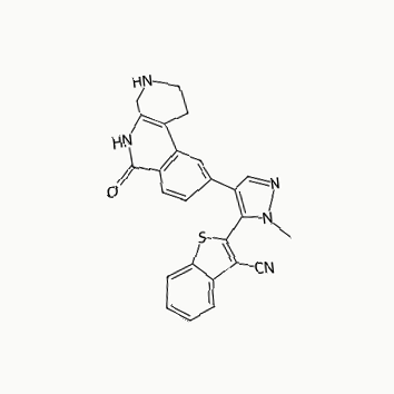 Cn1ncc(-c2ccc3c(=O)[nH]c4c(c3c2)CCNC4)c1-c1sc2ccccc2c1C#N